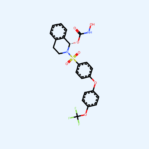 O=C(NO)O[C@H]1c2ccccc2CCN1S(=O)(=O)c1ccc(Oc2ccc(OC(F)(F)F)cc2)cc1